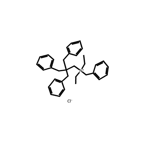 CC[N+](CC)(Cc1ccccc1)CC(Cc1ccccc1)(Cc1ccccc1)Cc1ccccc1.[Cl-]